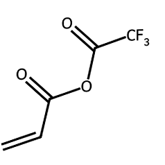 C=CC(=O)OC(=O)C(F)(F)F